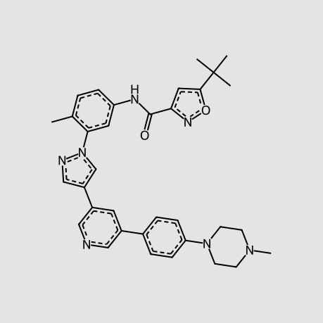 Cc1ccc(NC(=O)c2cc(C(C)(C)C)on2)cc1-n1cc(-c2cncc(-c3ccc(N4CCN(C)CC4)cc3)c2)cn1